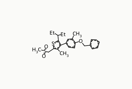 CCC(CC)c1sc(CS(C)(=O)=O)c(C)c1-c1ccc(OCc2ccccc2)c(C)c1